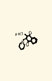 CC1=C(CN2CCCCC2)C(=O)c2ccccc2C1=O.Cl